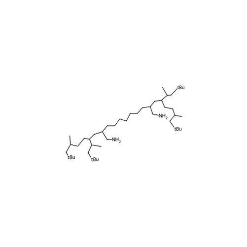 CC(CCC(CC(CN)CCCCCCCC(CN)CC(CCC(C)CC(C)(C)C)C(C)CC(C)(C)C)C(C)CC(C)(C)C)CC(C)(C)C